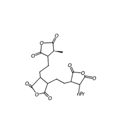 CCCC1C(=O)OC(=O)C1CCC1C(=O)OC(=O)C1CCC1C(=O)OC(=O)[C@H]1C